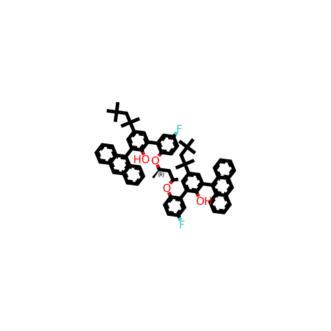 CC(C[C@@H](C)Oc1ccc(F)cc1-c1cc(C(C)(C)CC(C)(C)C)cc(-c2c3ccccc3cc3ccccc23)c1O)Oc1ccc(F)cc1-c1cc(C(C)(C)CC(C)(C)C)cc(-c2c3ccccc3cc3ccccc23)c1O